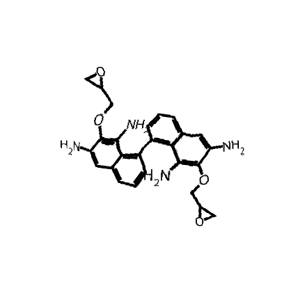 Nc1cc2cccc(-c3cccc4cc(N)c(OCC5CO5)c(N)c34)c2c(N)c1OCC1CO1